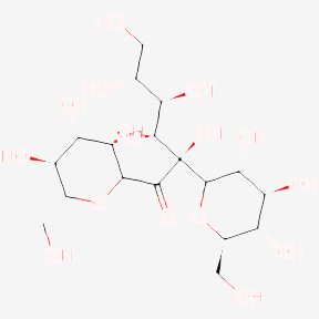 O=C(C1O[C@H](CO)[C@@H](O)[C@H](O)[C@H]1O)[C@@](O)(C1O[C@H](CO)[C@@H](O)[C@H](O)[C@H]1O)[C@@H](O)[C@H](O)[C@H](O)CO